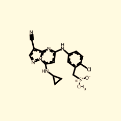 C[S@@+]([O-])Cc1cc(Nc2cc(NC3CC3)n3ncc(C#N)c3n2)ccc1Cl